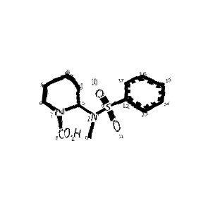 CN(C1CCCCN1C(=O)O)S(=O)(=O)c1ccccc1